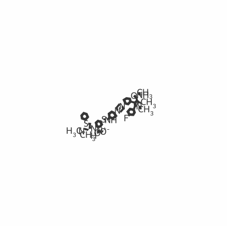 CNC(=O)c1c(-c2cccc(N3CCN(c4ccc(NSc5ccc(N[C@H](CCN(C)C)CSc6ccccc6)c([N+](=O)[O-])c5)cc4)CC3)c2)c(-c2ccc(F)cc2)n(C)c1C